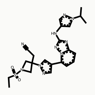 CCS(=O)(=O)N1CC(CC#N)(n2cc(-c3cccc4nc(Nc5cnn(C(C)C)c5)nn34)cn2)C1